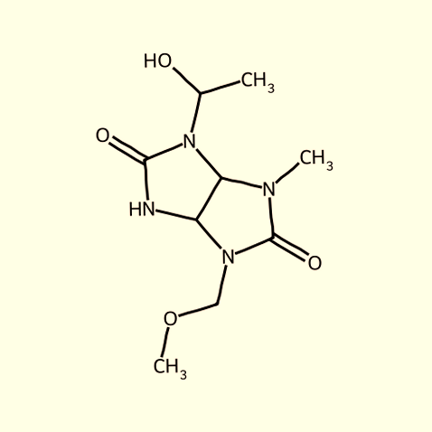 COCN1C(=O)N(C)C2C1NC(=O)N2C(C)O